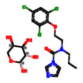 CCCN(CCOc1c(Cl)cc(Cl)cc1Cl)C(=O)n1ccnc1.O[C@H]1[C@H](O)[C@H](O)OC[C@H]1O